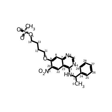 CC(Nc1ncnc2cc(OCCCCOS(C)(=O)=O)c([N+](=O)[O-])cc12)c1ccccc1